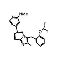 CNc1cc(-c2ccc3nc(C)c(Cc4ccccc4OC(F)F)n3c2)ccn1